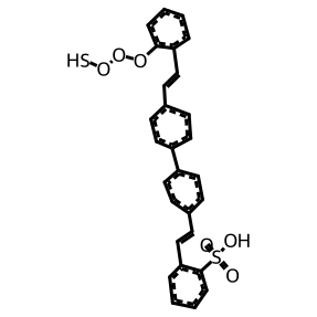 O=S(=O)(O)c1ccccc1/C=C/c1ccc(-c2ccc(/C=C/c3ccccc3OOOS)cc2)cc1